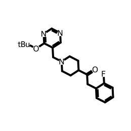 CC(C)(C)Oc1ncncc1CN1CCC(C(=O)Cc2ccccc2F)CC1